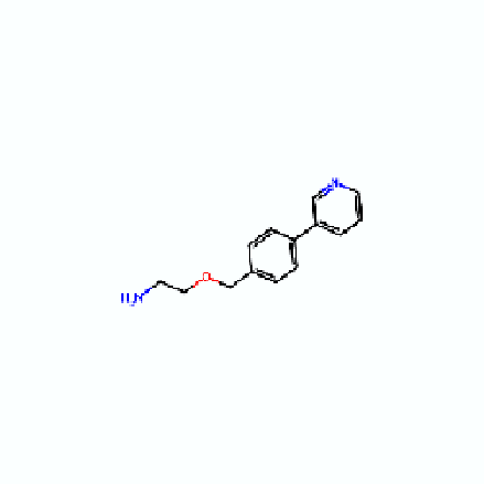 NCCOCc1ccc(-c2cccnc2)cc1